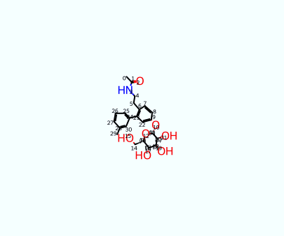 CC(=O)NCCc1ccc(O[C@H]2O[C@H](CO)[C@@H](O)[C@H](O)[C@@H]2O)cc1-c1cccc(C)c1